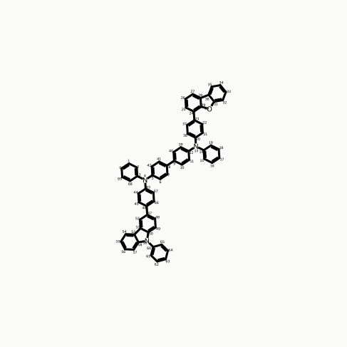 c1ccc(N(c2ccc(-c3ccc(N(c4ccccc4)c4ccc(-c5cccc6c5oc5ccccc56)cc4)cc3)cc2)c2ccc(-c3ccc4c(c3)c3ccccc3n4-c3ccccc3)cc2)cc1